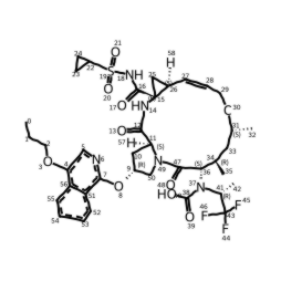 CCCOc1cnc(O[C@@H]2C[C@H]3C(=O)N[C@]4(C(=O)NS(=O)(=O)C5CC5)C[C@H]4C=CCC[C@H](C)C[C@@H](C)[C@H](N(C(=O)O)[C@H](C)C(F)(F)F)C(=O)N3C2)c2ccccc12